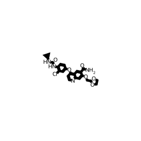 NC(=O)c1cc2c(Oc3ccc(NC(=O)NC4CC4)c(Cl)c3)ccnc2cc1OCC1OCCO1